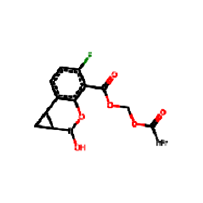 CCCC(=O)OCOC(=O)c1c(F)ccc2c1OB(O)C1CC21